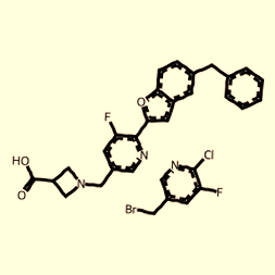 Fc1cc(CBr)cnc1Cl.O=C(O)C1CN(Cc2cnc(-c3cc4cc(Cc5ccccc5)ccc4o3)c(F)c2)C1